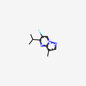 Cc1cnn2cc(F)c(C(C)C)nc12